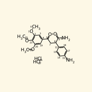 COc1cc(C(=O)CC(C(N)=O)c2ccc(N)cc2)cc(OC)c1OC.Cl.Cl